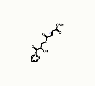 COC(=O)/C=C/C(=O)OCC(O)C(=O)n1cncn1